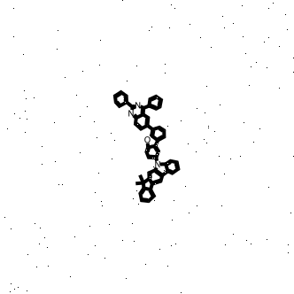 CC1(C)c2ccccc2-c2cc3c4ccccc4n(-c4ccc5oc6c(-c7ccc8nc(-c9ccccc9)nc(-c9ccccc9)c8c7)cccc6c5c4)c3cc21